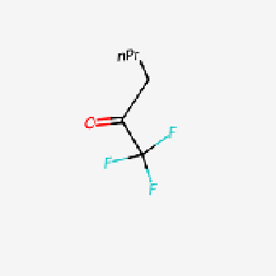 [CH2]CCCC(=O)C(F)(F)F